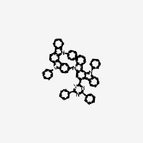 c1ccc(-c2nc(-c3ccccc3)nc(-c3cc4c(c5ccccc5n4-c4ccc5c(c4)c4c(ccc6c7ccccc7n(-c7ccccc7)c64)n5-c4ccccc4)c4c3c3ccccc3n4-c3ccccc3)n2)cc1